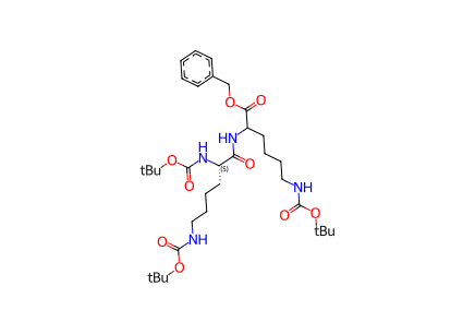 CC(C)(C)OC(=O)NCCCCC(NC(=O)[C@H](CCCCNC(=O)OC(C)(C)C)NC(=O)OC(C)(C)C)C(=O)OCc1ccccc1